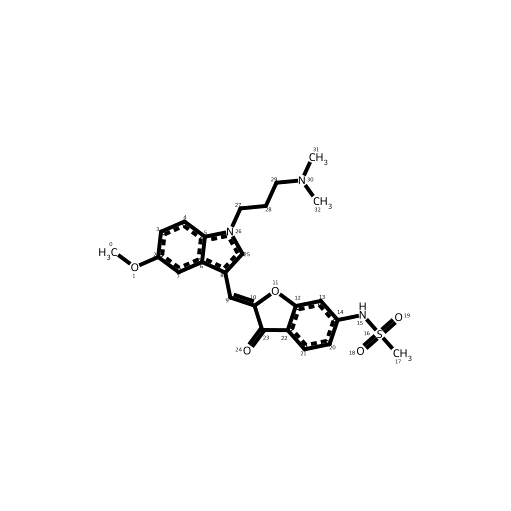 COc1ccc2c(c1)c(/C=C1\Oc3cc(NS(C)(=O)=O)ccc3C1=O)cn2CCCN(C)C